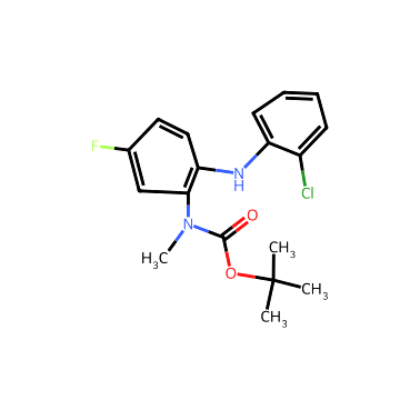 CN(C(=O)OC(C)(C)C)c1cc(F)ccc1Nc1ccccc1Cl